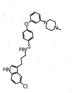 CN1CCN(c2cccc(Oc3ccc(SNCCCc4c[nH]c5ccc(Cl)cc45)cc3)c2)CC1